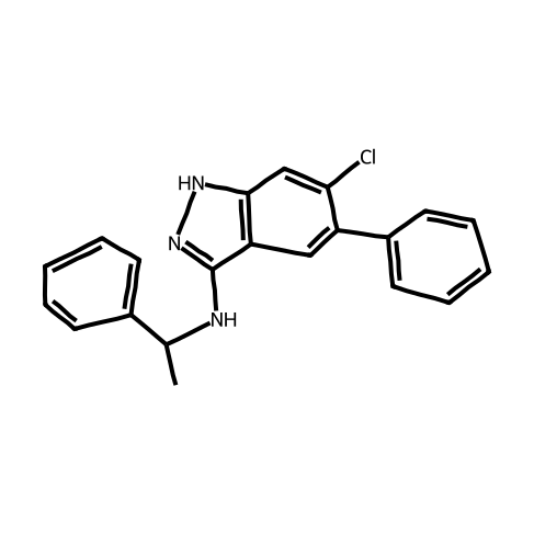 CC(Nc1n[nH]c2cc(Cl)c(-c3ccccc3)cc12)c1ccccc1